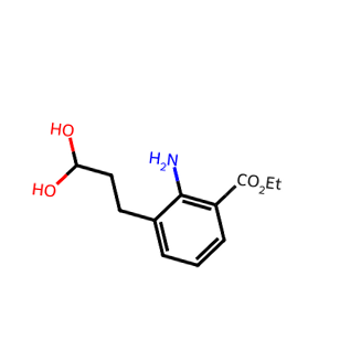 CCOC(=O)c1cccc(CCC(O)O)c1N